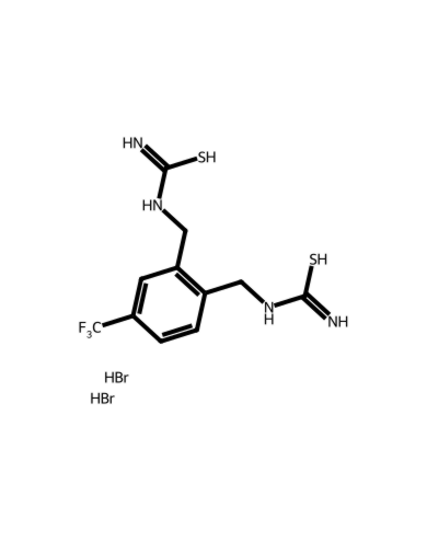 Br.Br.N=C(S)NCc1ccc(C(F)(F)F)cc1CNC(=N)S